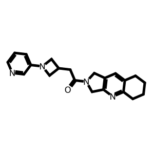 O=C(CC1CN(c2cccnc2)C1)N1Cc2cc3c(nc2C1)CCCC3